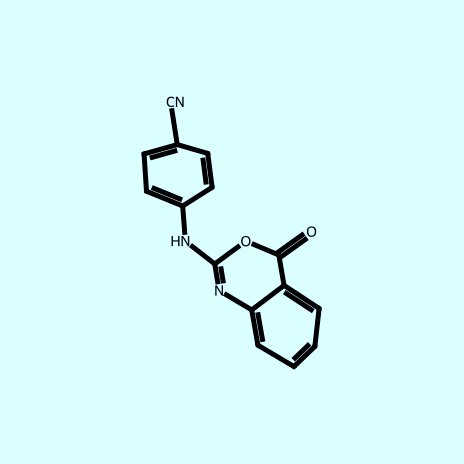 N#Cc1ccc(Nc2nc3ccccc3c(=O)o2)cc1